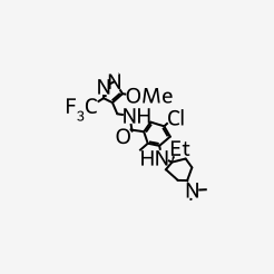 CC[C@]1(Nc2cc(Cl)cc(C(=O)NCc3c(C(F)(F)F)nn(C)c3OC)c2C)CC[C@@H](N(C)C)CC1